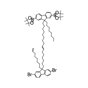 C=CCCCCCCC1(CCCCCCC=CCCCCCCCCC2(CCCCCCCC)c3cc(B4OC(C)(C)C(C)(C)O4)ccc3-c3ccc(B4OC(C)(C)C(C)(C)O4)cc32)c2cc(Br)ccc2-c2ccc(Br)cc21